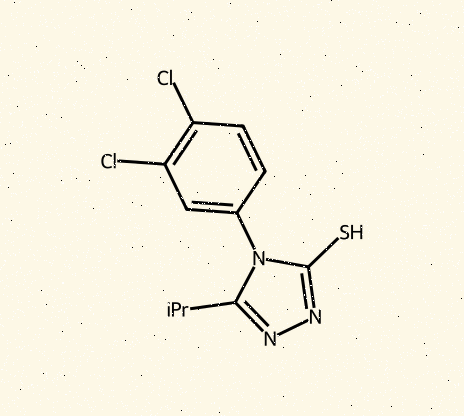 CC(C)c1nnc(S)n1-c1ccc(Cl)c(Cl)c1